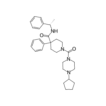 C[C@H](NC(=O)C1(c2ccccc2)CCN(C(=O)N2CCN(C3CCCC3)CC2)CC1)c1ccccc1